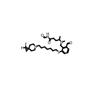 CC(CCC(=O)NC=O)N(C)Cc1c(C=O)cccc1SCCCCCCCN1CCC2(CC1)CC2(F)F